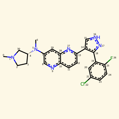 CN1CC[C@@H](N(C)c2cnc3ccc(-c4c[nH]nc4-c4cc(Cl)ccc4F)nc3c2)C1